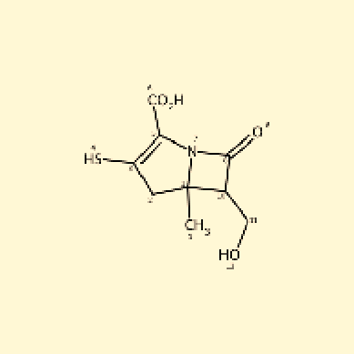 CC12CC(S)=C(C(=O)O)N1C(=O)C2CO